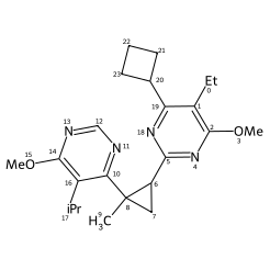 CCc1c(OC)nc(C2CC2(C)c2ncnc(OC)c2C(C)C)nc1C1CCC1